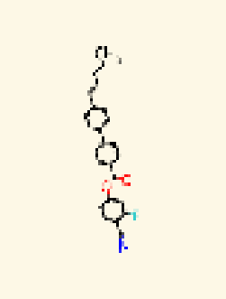 CCCC=Cc1ccc(-c2ccc(C(=O)Oc3ccc(C#N)c(F)c3)cc2)cc1